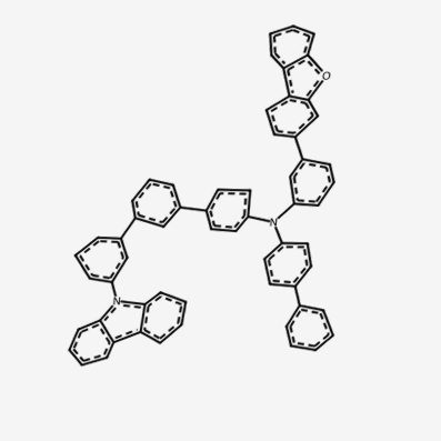 c1ccc(-c2ccc(N(c3ccc(-c4cccc(-c5cccc(-n6c7ccccc7c7ccccc76)c5)c4)cc3)c3cccc(-c4ccc5c(c4)oc4ccccc45)c3)cc2)cc1